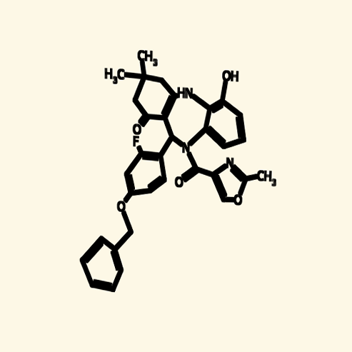 Cc1nc(C(=O)N2c3cccc(O)c3NC3=C(C(=O)CC(C)(C)C3)C2c2ccc(OCc3ccccc3)cc2F)co1